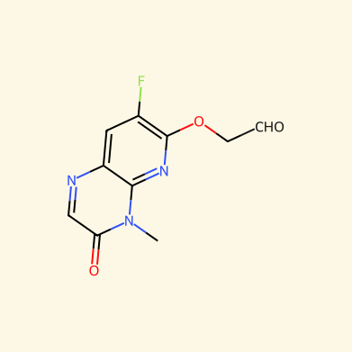 Cn1c(=O)cnc2cc(F)c(OCC=O)nc21